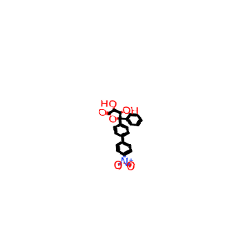 O=C1OC(c2ccccc2)(c2ccc(-c3ccc([N+](=O)[O-])cc3)cc2)C(O)=C1O